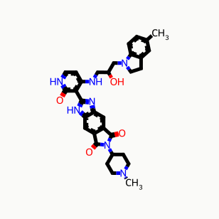 Cc1ccc2c(c1)CCN2CC(O)CNc1cc[nH]c(=O)c1-c1nc2cc3c(cc2[nH]1)C(=O)N(C1CCN(C)CC1)C3=O